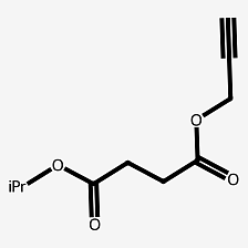 C#CCOC(=O)CCC(=O)OC(C)C